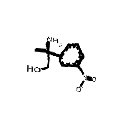 CC(N)(CO)c1cccc([N+](=O)[O-])c1